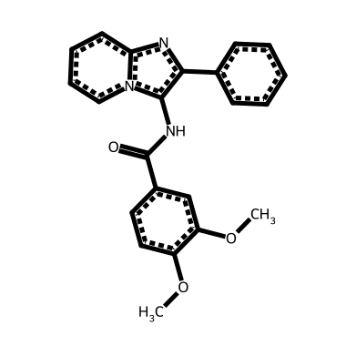 COc1ccc(C(=O)Nc2c(-c3ccccc3)nc3ccccn23)cc1OC